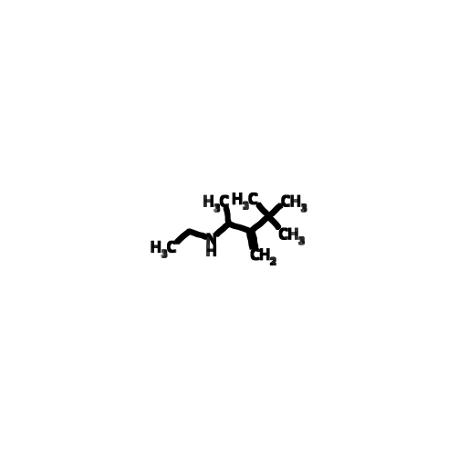 C=C(C(C)NCC)C(C)(C)C